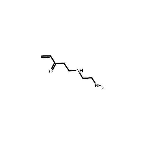 C=CC(=O)CCNCCN